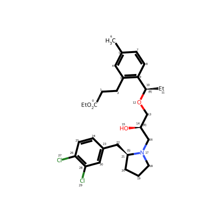 CCOC(=O)CCc1cc(C)ccc1[C@@H](CC)OC[C@H](O)CN1CCC[C@H]1Cc1ccc(Cl)c(Cl)c1